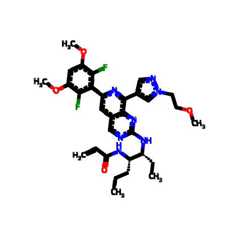 C=CC(=O)N[C@@H](CCC)[C@@H](CC)Nc1ncc2cc(-c3c(F)c(OC)cc(OC)c3F)nc(-c3cnn(CCOC)c3)c2n1